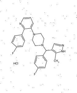 Cc1[nH]ncc1C(c1ccc(F)cc1)N1CCN(c2cccnc2-c2ccc(F)cc2)CC1.Cl